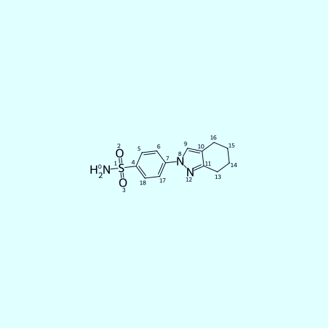 NS(=O)(=O)c1ccc(-n2cc3c(n2)CCCC3)cc1